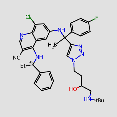 BC(Nc1cc(Cl)c2ncc(C#N)c(N[C@H](CC)c3ccccc3)c2c1)(c1ccc(F)cc1)c1cn(CCC(O)CNC(C)(C)C)nn1